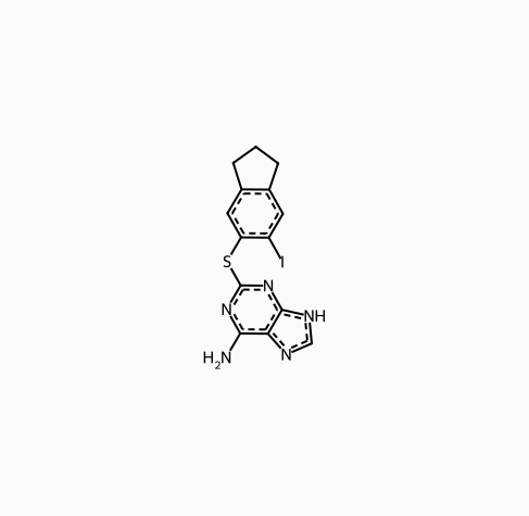 Nc1nc(Sc2cc3c(cc2I)CCC3)nc2[nH]cnc12